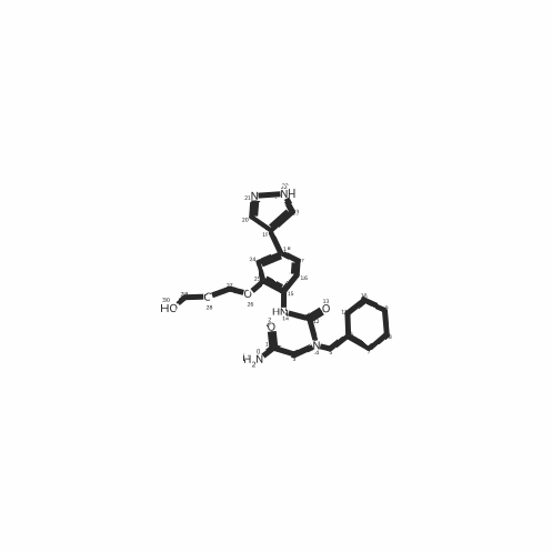 NC(=O)CN(CC1CCCCC1)C(=O)Nc1ccc(-c2cn[nH]c2)cc1OCCCO